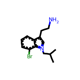 CC(C)Cn1cc(CCN)c2cccc(Br)c21